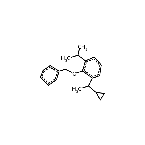 CC(C)c1cccc(C(C)C2CC2)c1OCc1ccccc1